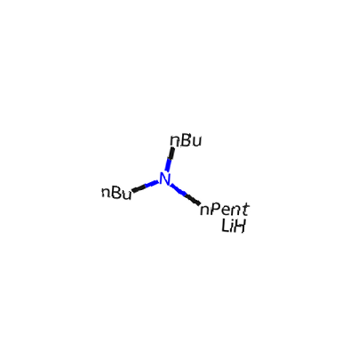 [CH2]CCCCN(CCCC)CCCC.[LiH]